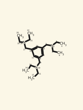 CCN(CC)Cc1cc(CN(CC)CC)cc(CN(CC)CC)c1